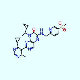 Cc1ncnc(C2CC2)c1-c1ncc2nc(NCc3ccc(S(C)(=O)=O)cn3)c(=O)n([C@@H](C)C3CC3)c2n1